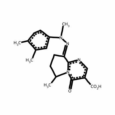 Cc1ccc(N(C)N=C2CCC(C)n3c2ncc(C(=O)O)c3=O)cc1C